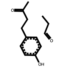 CC(=O)CCc1ccc(O)cc1.CCC=O